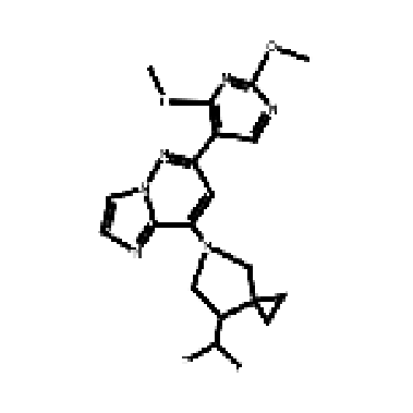 COc1ncc(-c2cc(N3CC(C(F)F)C4(CC4)C3)c3nccn3n2)c(OC)n1